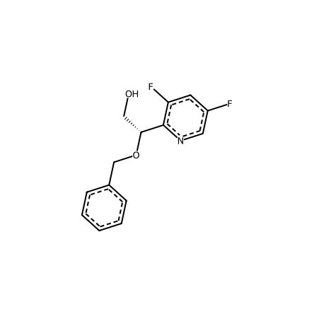 OC[C@@H](OCc1ccccc1)c1ncc(F)cc1F